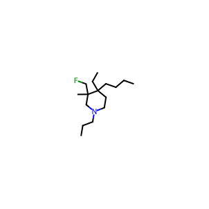 CCCCC1(CC)CCN(CCC)CC1(C)CF